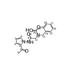 CC(=O)c1cccn1NC(=O)CN(Cc1ccccc1)C(=O)O